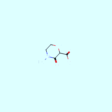 CN1CCOC(C(=O)O)C1=O